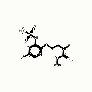 CCN(CCOc1ncc(Br)cc1NS(C)(=O)=O)C(=O)OC(C)(C)C